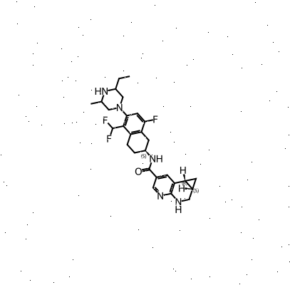 CCC1CN(c2cc(F)c3c(c2C(F)F)CC[C@H](NC(=O)c2cnc4c(c2)[C@@H]2C[C@@H]2CN4)C3)CC(C)N1